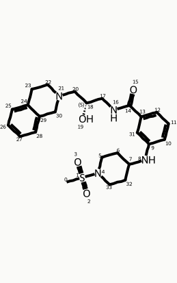 CS(=O)(=O)N1CCC(Nc2cccc(C(=O)NC[C@H](O)CN3CCc4ccccc4C3)c2)CC1